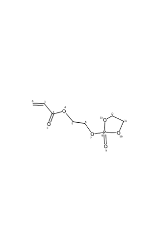 C=CC(=O)OCCOP1(=O)OCCO1